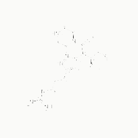 CC[C@@H](C)C(C(=O)N1CCNCC1)n1cc(CCCNC(=N)N)nn1